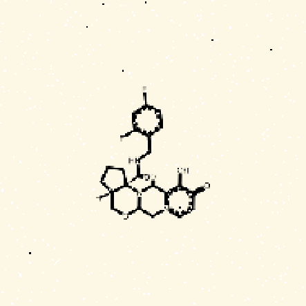 O=C1c2c(O)c(=O)ccn2CC2OC[C@@H]3CCC[C@]3(C(=O)NCc3ccc(F)cc3F)N12